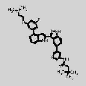 CN(C)CCOc1cc(F)cc(-c2cccc3[nH]c(-c4n[nH]c5ccc(-c6cncc(NC(=O)CC(C)(C)C)c6)cc45)cc23)c1